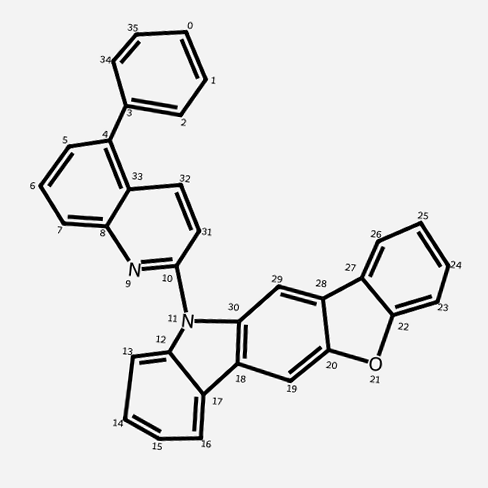 c1ccc(-c2cccc3nc(-n4c5ccccc5c5cc6oc7ccccc7c6cc54)ccc23)cc1